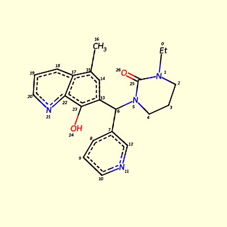 CCN1CCCN(C(c2cccnc2)c2cc(C)c3cccnc3c2O)C1=O